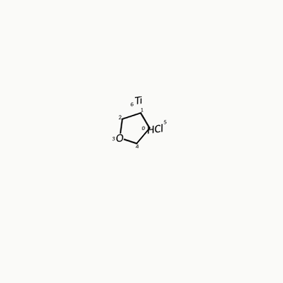 C1CCOC1.Cl.[Ti]